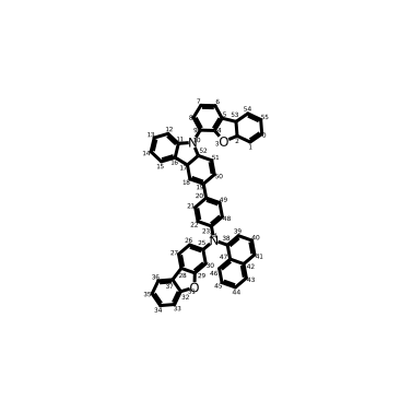 C1=CC2Oc3c(cccc3N3c4ccccc4C4C=C(c5ccc(N(c6ccc7c(c6)oc6ccccc67)c6cccc7ccccc67)cc5)C=CC43)C2C=C1